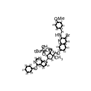 COc1ccc(CNc2nc3cc(OC[C@@]4(C)C[C@@H](n5ccc6c(Oc7ccccc7)ncnc65)[C@H](O[Si](C)(C)C(C)(C)C)C4=O)ccc3cc2Br)cc1